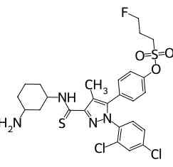 Cc1c(C(=S)NC2CCCC(N)C2)nn(-c2ccc(Cl)cc2Cl)c1-c1ccc(OS(=O)(=O)CCCF)cc1